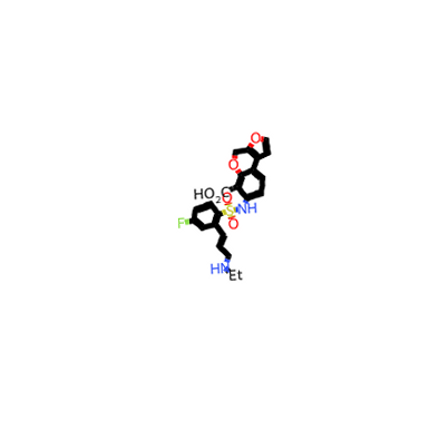 CCNCC=Cc1cc(F)ccc1S(=O)(=O)Nc1ccc2c(c1C(=O)O)OCc1occc1-2